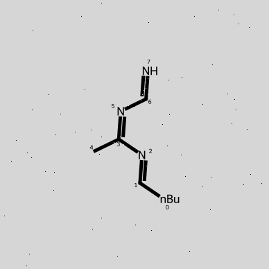 CCCC/C=N/C(C)=N\C=N